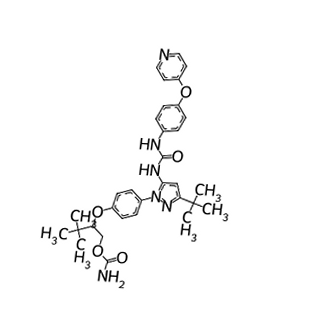 CC(C)(C)c1cc(NC(=O)Nc2ccc(Oc3ccncc3)cc2)n(-c2ccc(OC(COC(N)=O)C(C)(C)C)cc2)n1